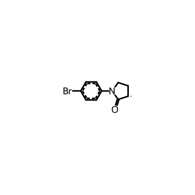 O=C1[CH]CCN1c1ccc(Br)cc1